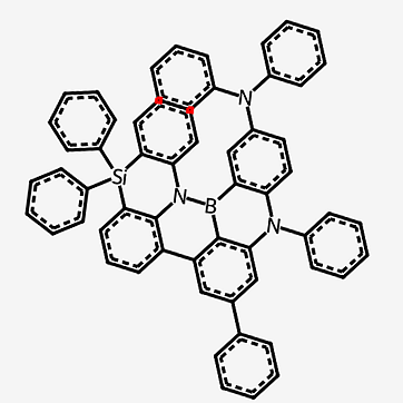 c1ccc(-c2cc3c4c(c2)N(c2ccccc2)c2ccc(N(c5ccccc5)c5ccccc5)cc2B4N2c4ccccc4[Si](c4ccccc4)(c4ccccc4)c4cccc-3c42)cc1